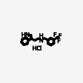 Cl.FC(F)(F)c1cccc(CNCCc2c[nH]c3ccccc23)c1